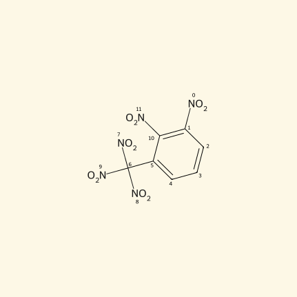 O=[N+]([O-])c1cccc(C([N+](=O)[O-])([N+](=O)[O-])[N+](=O)[O-])c1[N+](=O)[O-]